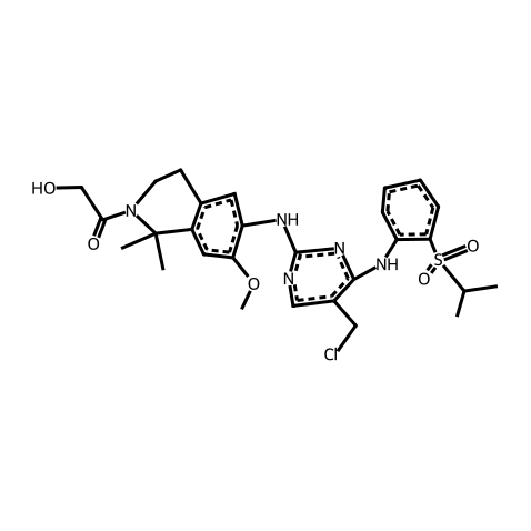 COc1cc2c(cc1Nc1ncc(CCl)c(Nc3ccccc3S(=O)(=O)C(C)C)n1)CCN(C(=O)CO)C2(C)C